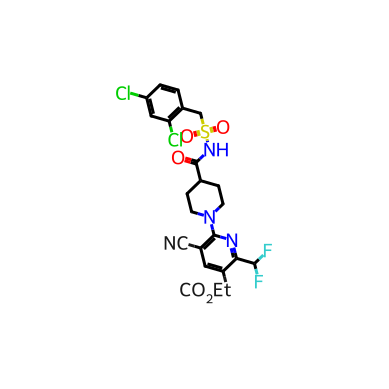 CCOC(=O)c1cc(C#N)c(N2CCC(C(=O)NS(=O)(=O)Cc3ccc(Cl)cc3Cl)CC2)nc1C(F)F